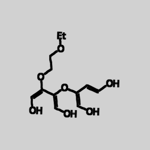 CCOCCOC(=CO)C(=CO)OC(C=CO)=CO